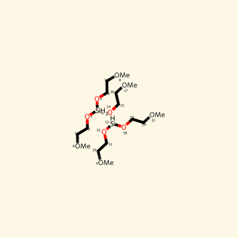 COCCO[SiH2]OCCOC.COCCO[SiH](OCCOC)OCCOC